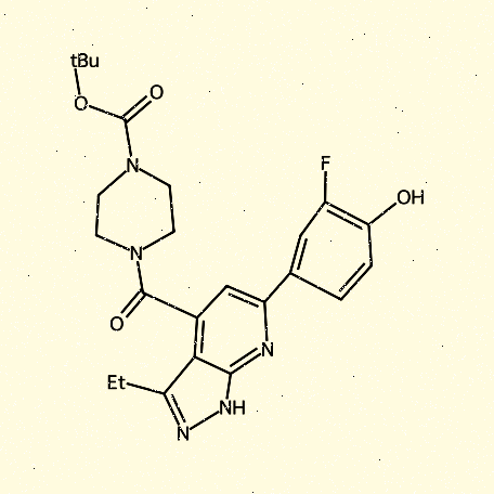 CCc1n[nH]c2nc(-c3ccc(O)c(F)c3)cc(C(=O)N3CCN(C(=O)OC(C)(C)C)CC3)c12